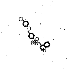 O=S(=O)(NCc1ccnc2ccccc12)c1ccc(COc2ccc(Cl)cc2)cc1